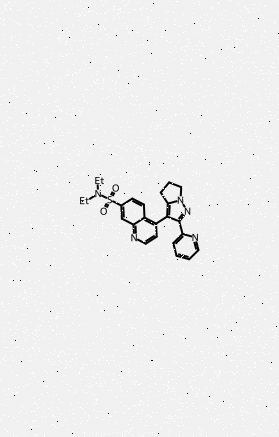 CCN(CC)S(=O)(=O)c1ccc2c(-c3c(-c4ccccn4)nn4c3CCC4)ccnc2c1